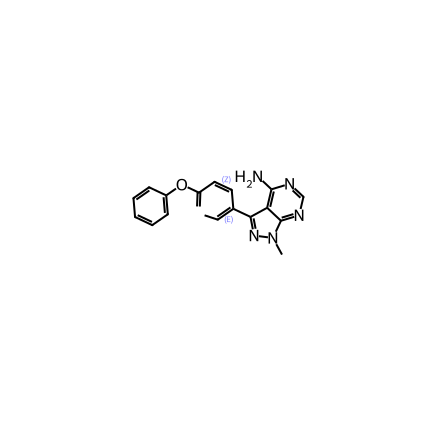 C=C(/C=C\C(=C/C)c1nn(C)c2ncnc(N)c12)Oc1ccccc1